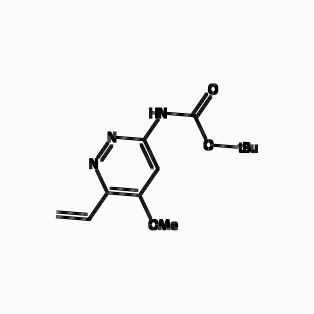 C=Cc1nnc(NC(=O)OC(C)(C)C)cc1OC